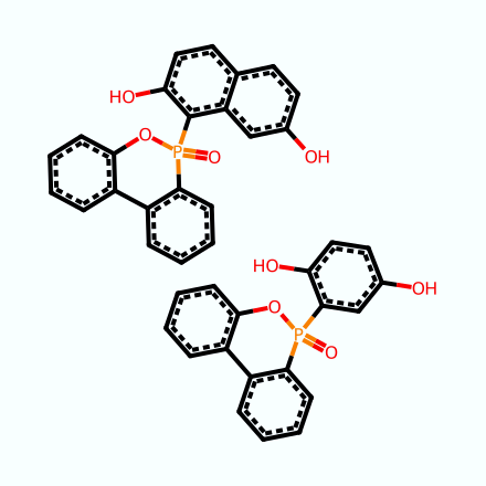 O=P1(c2c(O)ccc3ccc(O)cc23)Oc2ccccc2-c2ccccc21.O=P1(c2cc(O)ccc2O)Oc2ccccc2-c2ccccc21